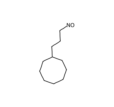 O=NCCCC1CCCCCCC1